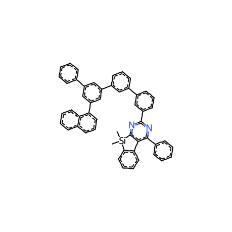 C[Si]1(C)c2ccccc2-c2c(-c3ccccc3)nc(-c3cccc(-c4cccc(-c5cc(-c6ccccc6)cc(-c6cccc7ccccc67)c5)c4)c3)nc21